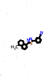 CC1CCCc2c(-c3nnc(-c4cccc(C#N)c4)s3)cccc21